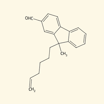 C=CCCCCC1(C)c2ccccc2-c2ccc(C=O)cc21